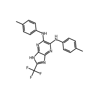 Cc1ccc(Nc2nc3nc(C(F)(F)F)[nH]c3nc2Nc2ccc(C)cc2)cc1